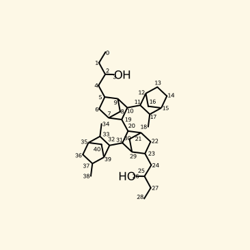 CCC(O)CC1CC2CC1C(C1C3CCC(C3)C1C)C2C1C2CC(CC(O)CC)C(C2)C1C1C(C)C2CC(C)C1C2